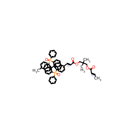 C/C=C/C(=O)OCC(C)(C)COC(=O)/C=C/c1cccc2c(-c3c(P(=O)(c4ccccc4)c4ccccc4)ccc4c(C)cccc34)c(P(=O)(c3ccccc3)c3ccccc3)ccc12